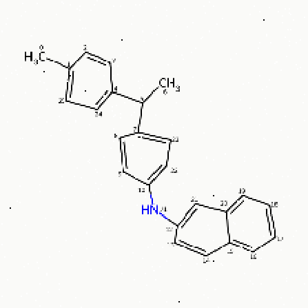 Cc1ccc(C(C)c2ccc(Nc3ccc4ccccc4c3)cc2)cc1